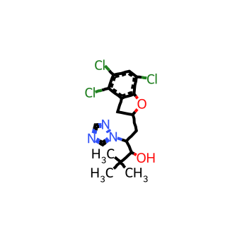 CC(C)(C)C(O)C(CC1Cc2c(Cl)c(Cl)cc(Cl)c2O1)n1cncn1